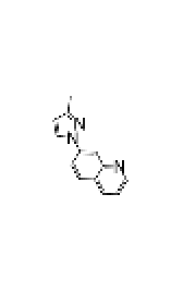 Cc1ccn(-c2ccc3cccnc3c2)n1